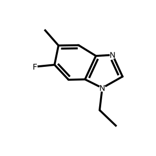 CCn1cnc2cc(C)c(F)cc21